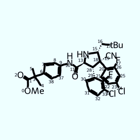 COC(=O)C(C)(C)c1ccc(NC(=O)[C@H]2N[C@H](CC(C)(C)C)[C@@](C#N)(c3ccc(Cl)cc3F)[C@@H]2c2cccc(Cl)c2F)cc1